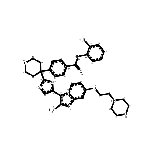 Cc1nc2cc(OCCN3CCOCC3)ccn2c1-c1csc(C2(c3ccc(C(=O)Nc4ccccc4N)cc3)CCOCC2)n1